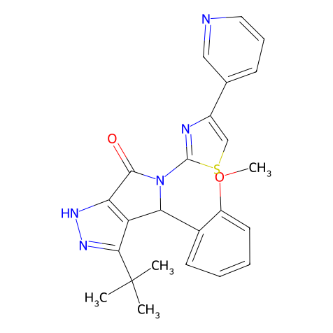 COc1ccccc1C1c2c(C(C)(C)C)n[nH]c2C(=O)N1c1nc(-c2cccnc2)cs1